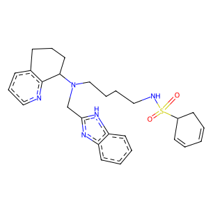 O=S(=O)(NCCCCN(Cc1nc2ccccc2[nH]1)C1CCCc2cccnc21)C1C=CC=CC1